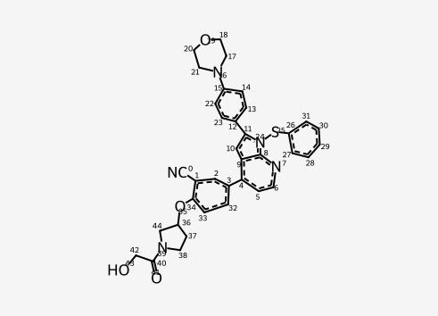 N#Cc1cc(-c2ccnc3c2cc(-c2ccc(N4CCOCC4)cc2)n3Sc2ccccc2)ccc1OC1CCN(C(=O)CO)C1